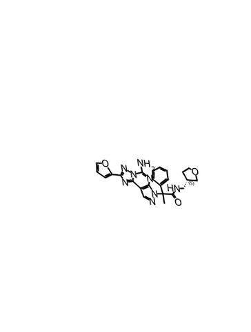 CC(C(=O)NC[C@@H]1CCOC1)(c1ccccc1)n1ncc2c1nc(N)n1nc(-c3ccco3)nc21